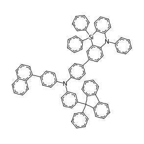 c1ccc(N2c3ccccc3[Si](c3ccccc3)(c3ccccc3)c3cc(-c4ccc(N(c5ccc(-c6cccc7ccccc67)cc5)c5cccc(C6(c7ccccc7)c7ccccc7-c7ccccc76)c5)cc4)ccc32)cc1